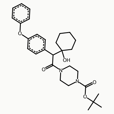 CC(C)(C)OC(=O)N1CCN(C(=O)C(c2ccc(Oc3ccccc3)cc2)C2(O)CCCCC2)CC1